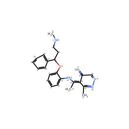 CNCCC(Oc1ccccc1N/C(C)=C1\C(=N)C=NN=C1C)c1ccccc1